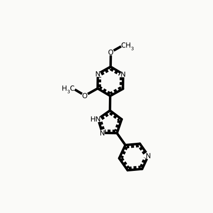 COc1ncc(-c2cc(-c3cccnc3)n[nH]2)c(OC)n1